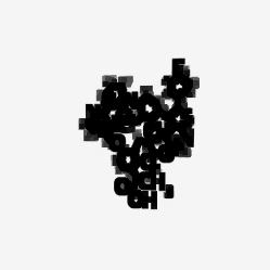 CCOC(=O)C(Cc1cc(CC(=O)O)ccc1OCc1ccnc(-c2ccccc2OC)n1)Oc1ncnc2sc(-c3ccc(F)cc3)c(-c3ccc(N)c(Cl)c3C)c12